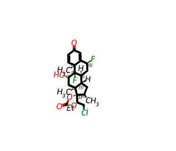 CCC(=O)O[C@@]1(C(=O)CCl)[C@H](C)C[C@H]2[C@@H]3C[C@H](F)C4=CC(=O)C=C[C@]4(C)[C@@]3(F)[C@@H](O)C[C@@]21C